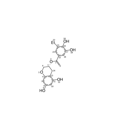 C=C(O[C@H]1COc2cc(O)cc(O)c2C1)c1cc(O)c(O)c(CC)c1